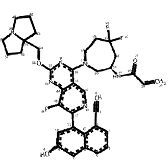 C#Cc1cccc2cc(O)cc(-c3ncc4c(N5CCC(F)(F)C[C@@H](NC(=O)C=C)C5)nc(OCC56CCCN5CCC6)nc4c3F)c12